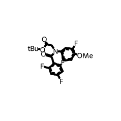 COc1ccc(N(CC(=O)OC(C)(C)C)C(=O)c2c(F)cc(F)cc2F)cc1F